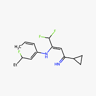 C/C=C\C(=C/C(F)CC)N/C(=C\C(=N)C1CC1)C(F)F